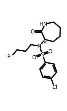 CC(C)CCCN([C@@H]1CCCCNC1=O)S(=O)(=O)c1ccc(Cl)cc1